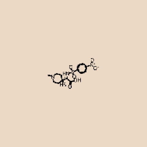 CN1CCC(S)([C@H](NS(=O)(=O)c2ccc([N+](=O)[O-])cc2)C(=O)O)CC1